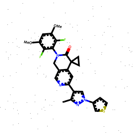 COc1cc(OC)c(F)c(N2Cc3cnc(-c4cn(-c5ccsc5)nc4C)cc3C3(CC3)C2=O)c1F